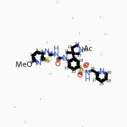 COc1ccc2nc(NC(=O)N3CC4(CCN(C(C)=O)C4)c4cc(S(=O)(=O)NCc5ccccn5)ccc43)sc2n1